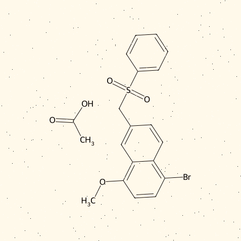 CC(=O)O.COc1ccc(Br)c2ccc(CS(=O)(=O)c3ccccc3)cc12